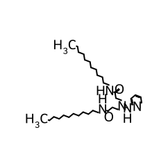 CCCCCCCCCCCCNC(=O)CCN(CCC(=O)NCCCCCCCCCCCC)Nc1ccccn1